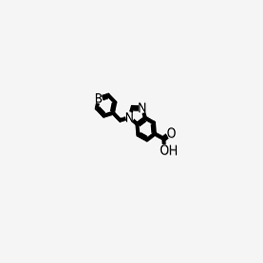 O=C(O)c1ccc2c(c1)ncn2Cc1ccbcc1